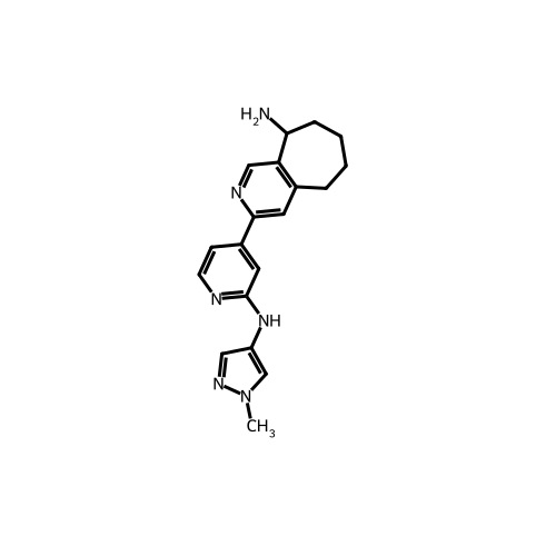 Cn1cc(Nc2cc(-c3cc4c(cn3)C(N)CCCC4)ccn2)cn1